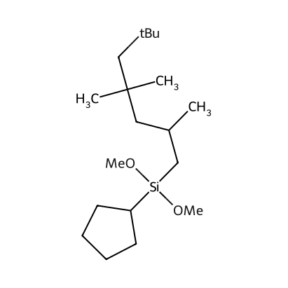 CO[Si](CC(C)CC(C)(C)CC(C)(C)C)(OC)C1CCCC1